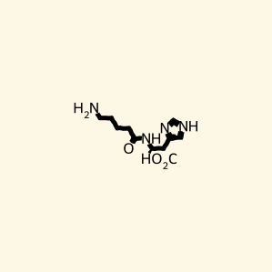 NCCCCC(=O)N[C@@H](Cc1c[nH]cn1)C(=O)O